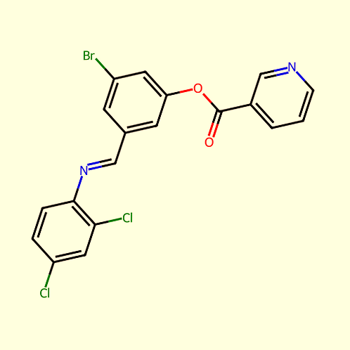 O=C(Oc1cc(Br)cc(C=Nc2ccc(Cl)cc2Cl)c1)c1cccnc1